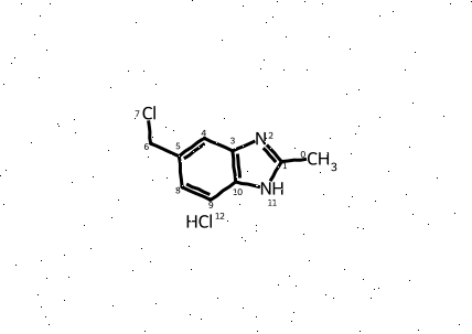 Cc1nc2cc(CCl)ccc2[nH]1.Cl